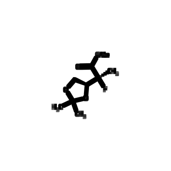 COC(=O)[C@@](C)(F)[C@@H]1COC(C)(C)O1